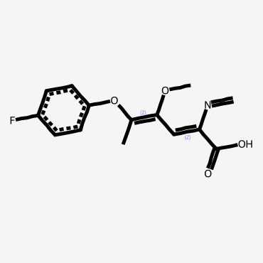 C=N/C(=C\C(OC)=C(/C)Oc1ccc(F)cc1)C(=O)O